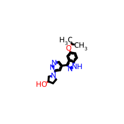 CC(C)Oc1ccc2[nH]nc(-c3cnnc(N4CCC(O)C4)c3)c2c1